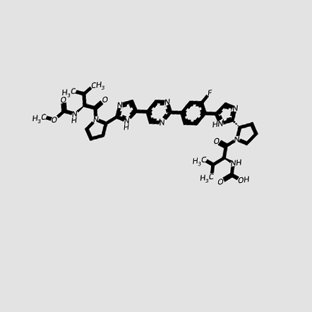 COC(=O)N[C@H](C(=O)N1CCCC1c1ncc(-c2cnc(-c3ccc(-c4cnc([C@@H]5CCCN5C(=O)[C@@H](NC(=O)O)C(C)C)[nH]4)c(F)c3)nc2)[nH]1)C(C)C